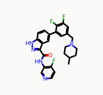 CC1CCN(Cc2cc(F)c(F)c(-c3ccc4[nH]nc(C(=O)Nc5cnccc5F)c4c3)c2)CC1